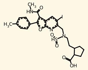 CNC(=O)c1c(-c2ccc(C)cc2)oc2nc(CN(CCC3CCCC3C(=O)O)[SH](=O)=O)c(I)cc12